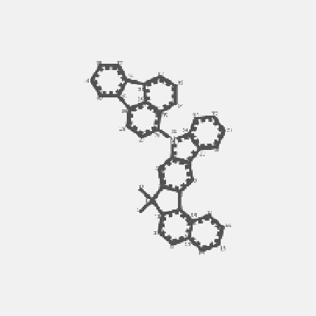 CC1(C)c2cc3c(cc2-c2c1ccc1ccccc21)c1ccccc1n3-c1ccc2c3c(cccc13)-c1ccccc1-2